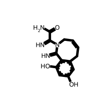 N=C(C(N)=O)N1C/C=C\Cc2cc(O)cc(O)c2C1=N